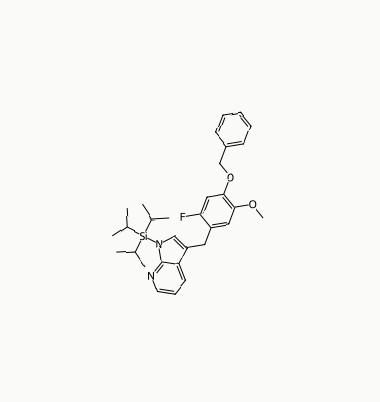 COc1cc(Cc2cn([Si](C(C)C)(C(C)C)C(C)C)c3ncccc23)c(F)cc1OCc1ccccc1